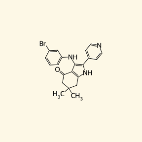 CC1(C)CC(=O)c2c([nH]c(-c3ccncc3)c2Nc2cccc(Br)c2)C1